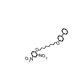 O=[N+]([O-])c1ccc(OCCCCCCCCOc2ccc(-c3ccccc3)cc2)c([N+](=O)[O-])c1